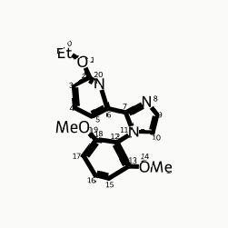 CCOc1cccc(-c2nccn2-c2c(OC)cccc2OC)n1